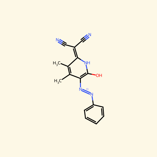 CC1=C(C)C(=C(C#N)C#N)NC(O)=C1/N=N/c1ccccc1